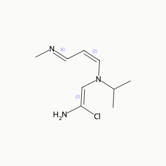 C/N=C/C=C\N(/C=C(/N)Cl)C(C)C